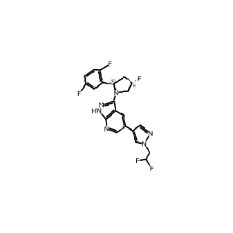 Fc1ccc(F)c([C@H]2C[C@H](F)CN2c2n[nH]c3ncc(-c4cnn(CC(F)F)c4)cc23)c1